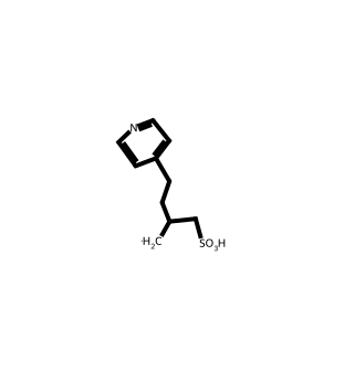 [CH2]C(CCc1ccncc1)CS(=O)(=O)O